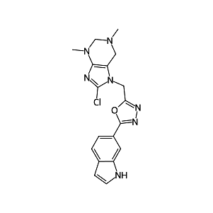 CN1Cc2c(nc(Cl)n2Cc2nnc(-c3ccc4cc[nH]c4c3)o2)N(C)C1